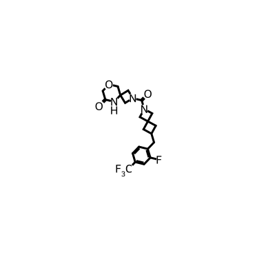 O=C1COCC2(CN(C(=O)N3CC4(CC(Cc5ccc(C(F)(F)F)cc5F)C4)C3)C2)N1